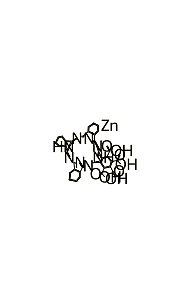 O=C(O)c1c(C(=O)O)c(C(=O)O)c2c3nc4nc(nc5[nH]c(nc6nc(nc([nH]3)c2c1C(=O)O)-c1ccccc1-6)c1ccccc51)-c1ccccc1-4.[Zn]